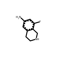 Nc1cc(F)c2c(c1)CCNC2